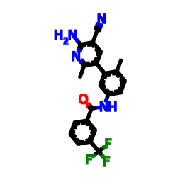 Cc1ccc(NC(=O)c2cccc(C(F)(F)F)c2)cc1-c1cc(C#N)c(N)nc1C